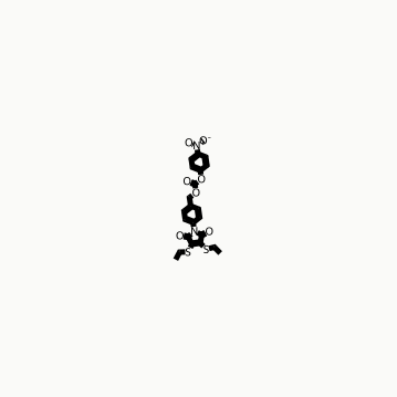 CCSC1=C(SCC)C(=O)N(c2ccc(COC(=O)Oc3ccc([N+](=O)[O-])cc3)cc2)C1=O